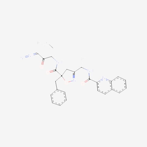 CC(C)[C@H](NC(=O)c1ccc2ccccc2n1)C1=NOC(Cc2ccccc2)(C(=O)N[C@@H](CC(=O)O)C(=O)C=[N+]=[N-])C1